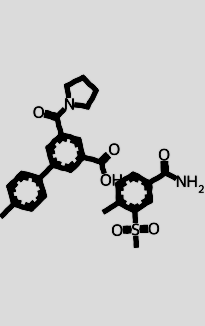 Cc1ccc(-c2cc(C(=O)O)cc(C(=O)N3CCCC3)c2)cc1.Cc1ccc(C(N)=O)cc1S(C)(=O)=O